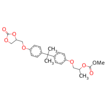 COC(=O)OC(C)COc1ccc(C(C)(C)c2ccc(OCC3COC(=O)O3)cc2)cc1